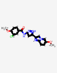 COc1ccc2nc(-c3cc(NC(=O)c4ccc(OC)c(Cl)c4)n[nH]3)cn2c1